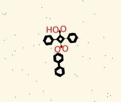 O=C(O)[C@H]1[C@H](c2ccccc2)[C@H](C(=O)Oc2ccc(-c3ccccc3)cc2)[C@H]1c1ccccc1